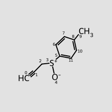 C#CC[S+]([O-])c1ccc(C)cc1